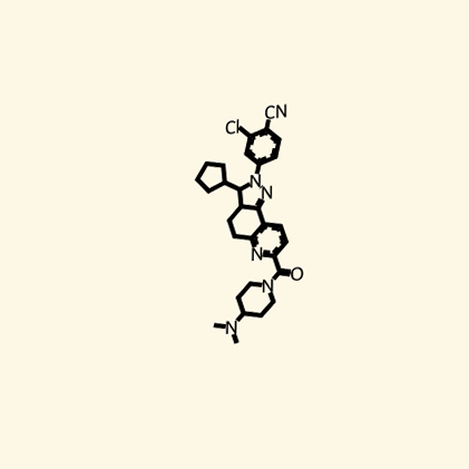 CN(C)C1CCN(C(=O)c2ccc3c(n2)CCC2C3=NN(c3ccc(C#N)c(Cl)c3)C2C2CCCC2)CC1